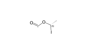 C[C@H](I)O[C]=O